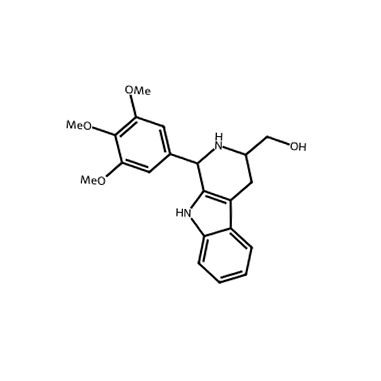 COc1cc(C2NC(CO)Cc3c2[nH]c2ccccc32)cc(OC)c1OC